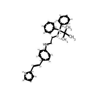 CC(C)(C)[Si](OCCNc1ccc(C=Cc2cccs2)cc1)(c1ccccc1)c1ccccc1